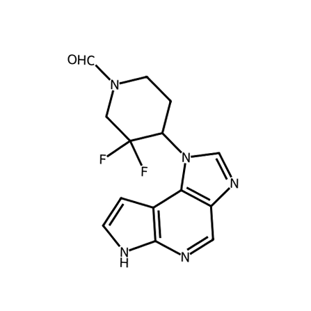 O=CN1CCC(n2cnc3cnc4[nH]ccc4c32)C(F)(F)C1